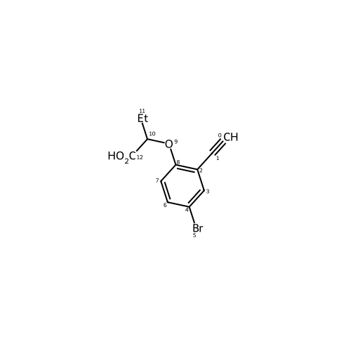 C#Cc1cc(Br)ccc1OC(CC)C(=O)O